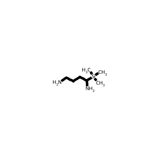 C[Si](C)(C)C(N)CCCN